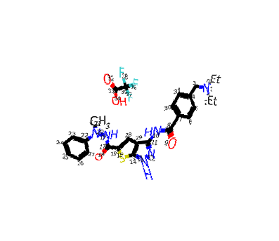 CCN(CC)Cc1ccc(C(=O)Nc2n[nH]c3sc(C(=O)NN(C)c4ccccc4)cc23)cc1.O=C(O)C(F)(F)F